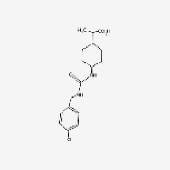 CC(C(=O)O)C1CCC(NC(=O)NCc2ccc(Cl)cc2)CC1